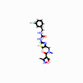 Cc1nocc1C(=O)N(C)Cc1csc(NC(=O)NCc2cccc(F)c2)n1